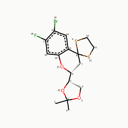 CC1(C)OC[C@@H]([C@H]2CC3(SCCS3)c3cc(Br)c(F)cc3O2)O1